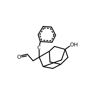 O=CCC1(Cc2ccccc2)C2CC3CC1CC(O)(C3)C2